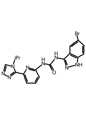 CC(C)n1cnnc1-c1cccc(NC(=O)Nc2n[nH]c3ccc(Br)cc23)n1